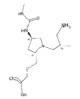 CNC(=O)N[C@@H]1C[C@@H](COCC(=O)O)N(C[C@@H](C)CN)C1